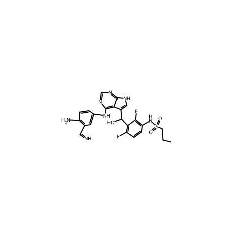 CCCS(=O)(=O)Nc1ccc(F)c(C(O)c2c[nH]c3ncnc(Nc4ccc(N)c(C=N)c4)c23)c1F